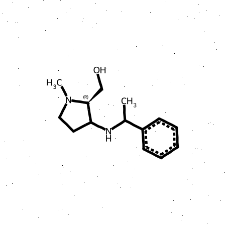 CC(NC1CCN(C)[C@H]1CO)c1ccccc1